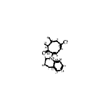 CC1C/C(Cl)=C\C=C(\N2CCCc3ccccc32)C(=O)C1C